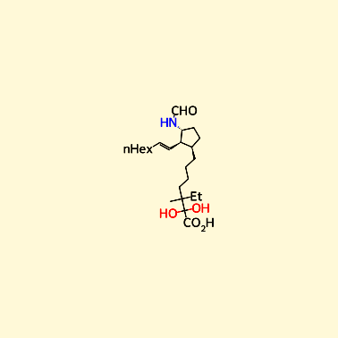 CCCCCCC=C[C@@H]1[C@H](CCCCC(C)(CC)C(O)(O)C(=O)O)CC[C@H]1NC=O